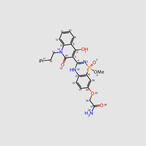 COP1(=O)N=C(c2c(O)c3ccccc3n(CCC(C)C)c2=O)Nc2ccc(OCC(N)=O)cc21